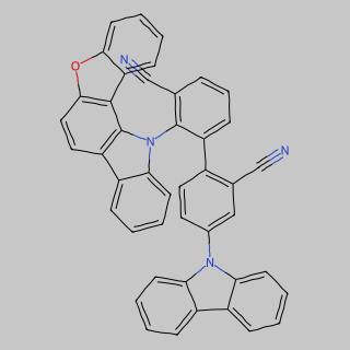 N#Cc1cc(-n2c3ccccc3c3ccccc32)ccc1-c1cccc(C#N)c1-n1c2ccccc2c2ccc3oc4ccccc4c3c21